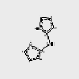 c1c[nH]c(Nn2cccn2)c1